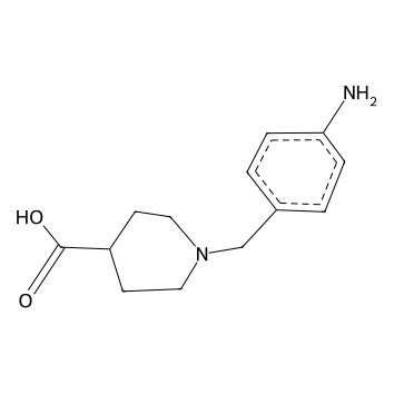 Nc1ccc(CN2CCC(C(=O)O)CC2)cc1